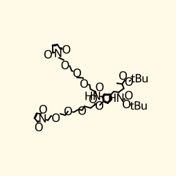 CC(CC(Cc1ccc(OC(=O)CCOCCOCCOCCN2C(=O)C=CC2=O)c(NC(=O)CCOCCOCCOCCN2C(=O)C=CC2=O)c1)NC(=O)OC(C)(C)C)C(=O)OC(C)(C)C